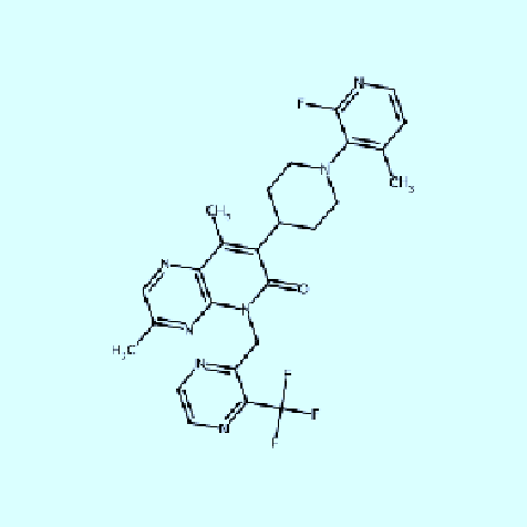 Cc1cnc2c(C)c(C3CCN(c4c(C)ccnc4F)CC3)c(=O)n(Cc3nccnc3C(F)(F)F)c2n1